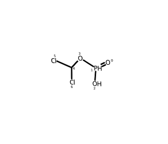 O=[PH](O)OC(Cl)Cl